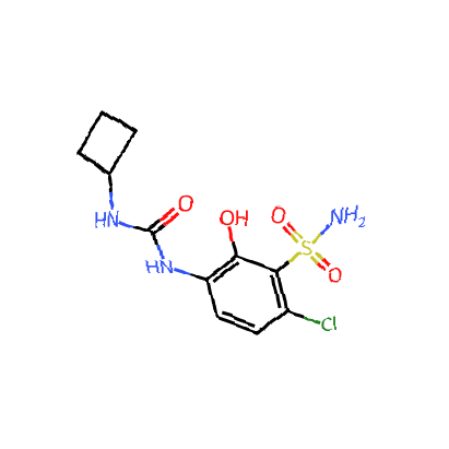 NS(=O)(=O)c1c(Cl)ccc(NC(=O)NC2CCC2)c1O